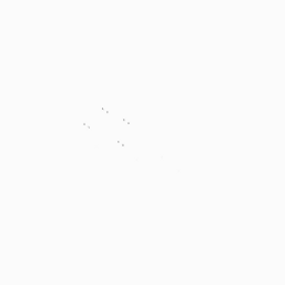 OOSCn1nnnc1S